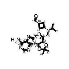 CO[C@H](CN(C(C)C)[C@H]1C[C@H](C=O)C1)[C@H]1OC(C)(C)O[C@H]1n1cnc2c(N)ncnc21